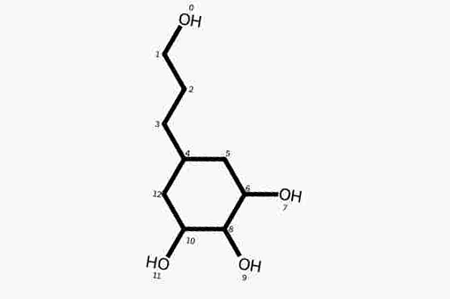 OCCCC1CC(O)C(O)C(O)C1